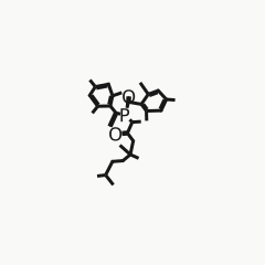 C=C(c1c(C)cc(C)cc1C)P(C(=O)c1c(C)cc(C)cc1C)C(C)C(=O)CC(C)(C)CCC(C)C